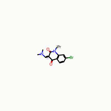 CC(C)N1C(=O)/C(=C\N(C)C)C(=O)c2ccc(Br)cc21